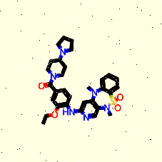 CCOc1cc(C(=O)N2CCC(N3CCCC3)CC2)ccc1Nc1cc2c(cn1)N(C)S(=O)(=O)c1ccccc1N2C